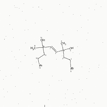 CC(C)CCC(C)(O)/C=C/C(C)(O)CCC(C)C